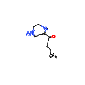 CCCC(=O)C1CNCC[N]1